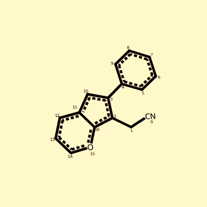 N#CCc1c(-c2ccccc2)cc2cccoc1-2